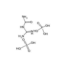 N=C(N)NC(N)=O.O=P(O)(O)O.O=S(=O)(O)O